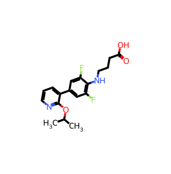 CC(C)Oc1ncccc1-c1cc(F)c(NCCCC(=O)O)c(F)c1